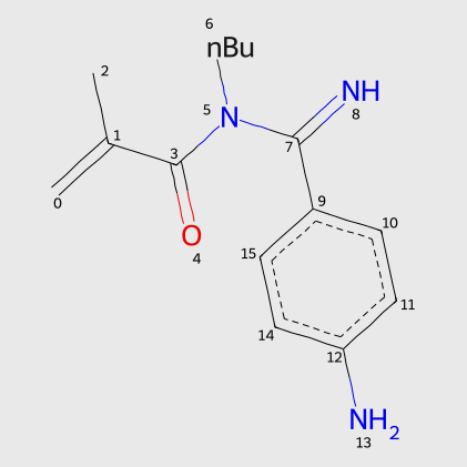 C=C(C)C(=O)N(CCCC)C(=N)c1ccc(N)cc1